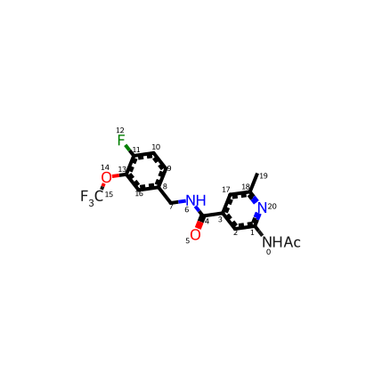 CC(=O)Nc1cc(C(=O)NCc2ccc(F)c(OC(F)(F)F)c2)cc(C)n1